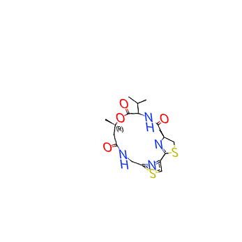 CC(C)C1NC(=O)C2(C)CSC(=N2)c2csc(n2)CNC(=O)C[C@@H](C)OC1=O